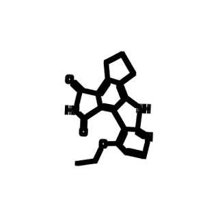 CCOc1ccnc2[nH]c3c4c(c5c(c3c12)C(=O)NC5=O)CCC4